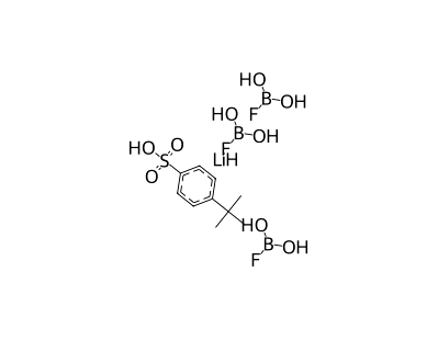 CC(C)(C)c1ccc(S(=O)(=O)O)cc1.OB(O)F.OB(O)F.OB(O)F.[LiH]